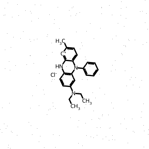 CCN(CC)c1ccc2c(c1)N(c1ccccc1)C1=CC=C(C)[C+]=C1N2.[Cl-]